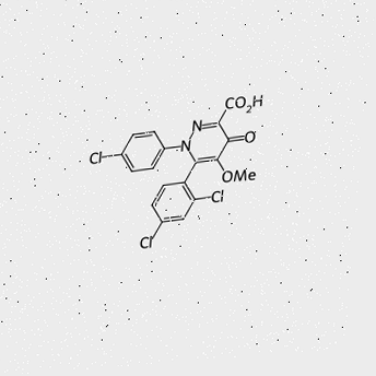 COc1c(-c2ccc(Cl)cc2Cl)n(-c2ccc(Cl)cc2)nc(C(=O)O)c1=O